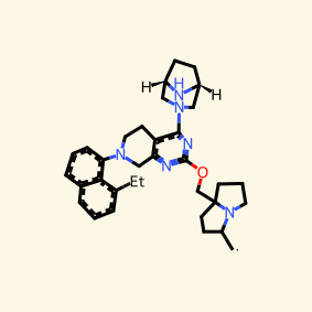 [CH2]C1CCC2(COc3nc4c(c(N5C[C@H]6CC[C@@H](C5)N6)n3)CCN(c3cccc5cccc(CC)c35)C4)CCCN12